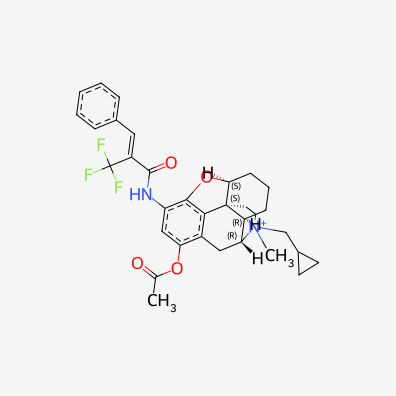 CC(=O)Oc1cc(NC(=O)C(=Cc2ccccc2)C(F)(F)F)c2c3c1C[C@@H]1[C@@H]4CCC[C@H](O2)[C@]34CC[N+]1(C)CC1CC1